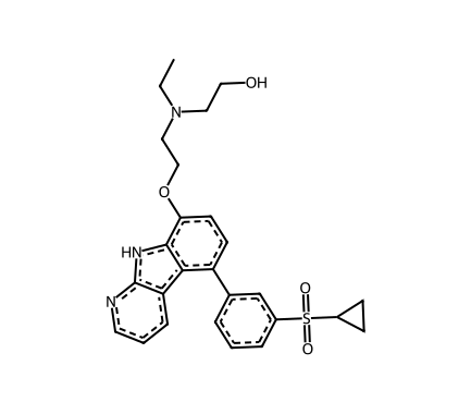 CCN(CCO)CCOc1ccc(-c2cccc(S(=O)(=O)C3CC3)c2)c2c1[nH]c1ncccc12